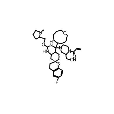 C=CC(=O)N1CCN(C2(C3CCCCCCCC3)NC(OCC3CCCN3C)NC3C[C@@]4(CCc5cc(F)ccc5S4)CCC32)CC1CC#N